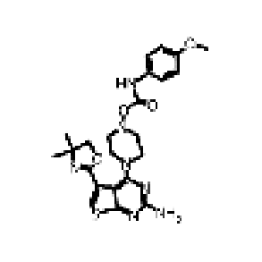 COc1ccc(NC(=O)ON2CCN(c3nc(N)nc4scc(C5=NC(C)(C)CO5)c34)CC2)cc1